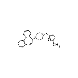 Cc1ccc(CN2CCN(C3C=CC4=C(CCC=C4)c4ccccc43)CC2)o1